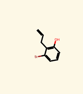 C=CCc1c(O)[c]ccc1Br